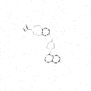 O=Cc1ccc2c(N3CCC(Oc4ccc5c(c4)CCN(C4=CC=C4)CC5)CC3)nccc2c1